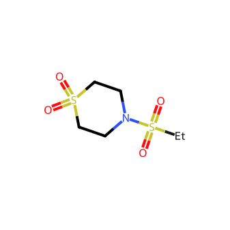 CCS(=O)(=O)N1CCS(=O)(=O)CC1